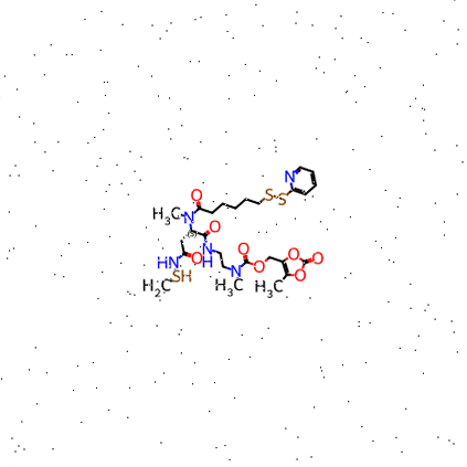 C=[SH]NC(=O)C[C@@H](C(=O)NCCN(C)C(=O)OCc1oc(=O)oc1C)N(C)C(=O)CCCCCSSc1ccccn1